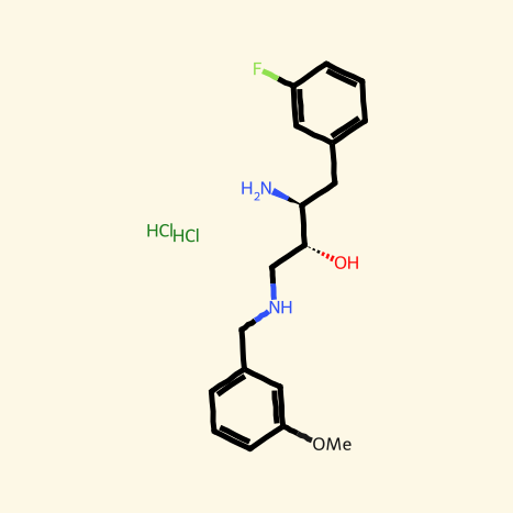 COc1cccc(CNC[C@@H](O)[C@@H](N)Cc2cccc(F)c2)c1.Cl.Cl